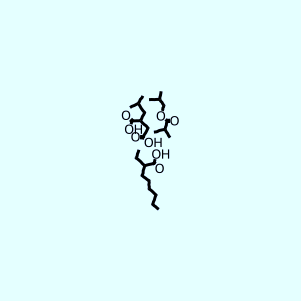 CC(C)CC(CC(=O)O)C(=O)O.CC(C)COC(=O)C(C)C.CCCCCCC(CC)C(=O)O